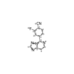 N#Cc1ccc(-c2nccc3ncnn23)cc1F